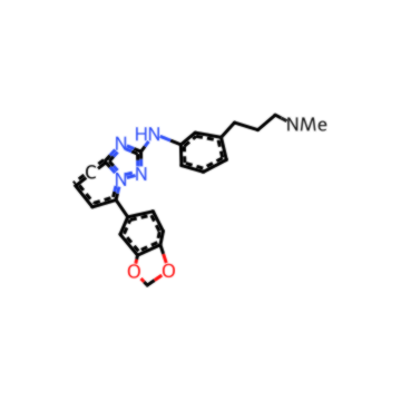 CNCCCc1cccc(Nc2nc3cccc(-c4ccc5c(c4)OCO5)n3n2)c1